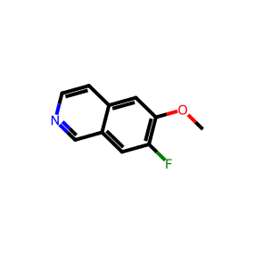 COc1cc2ccncc2cc1F